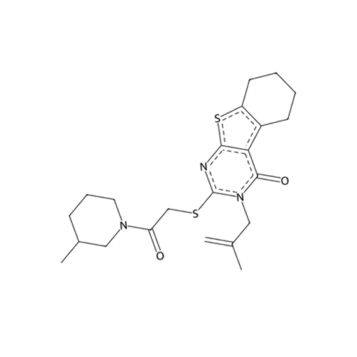 C=C(C)Cn1c(SCC(=O)N2CCCC(C)C2)nc2sc3c(c2c1=O)CCCC3